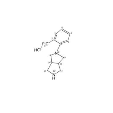 Cl.FC(F)(F)c1ccccc1N1CC2CNCC2C1